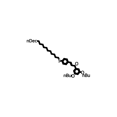 CCCCCCCCCCCCCCCCCCCCCSc1ccc(/C=C/C(=O)c2cc(OCCCC)cc(OCCCC)c2)cc1